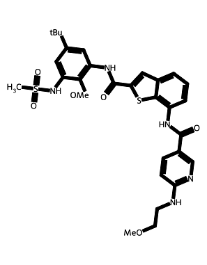 COCCNc1ccc(C(=O)Nc2cccc3cc(C(=O)Nc4cc(C(C)(C)C)cc(NS(C)(=O)=O)c4OC)sc23)cn1